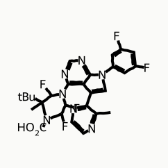 Cc1nccnc1-c1cn(-c2cc(F)cc(F)c2)c2ncnc(N3C(F)C(F)N(C(=O)O)C(C)(C(C)(C)C)C3F)c12